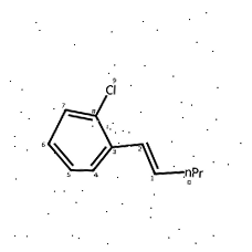 [CH2]CCC=Cc1ccccc1Cl